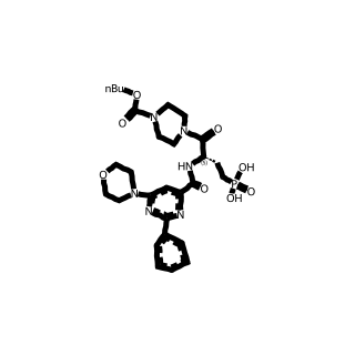 CCCCOC(=O)N1CCN(C(=O)[C@H](CCP(=O)(O)O)NC(=O)c2cc(N3CCOCC3)nc(-c3ccccc3)n2)CC1